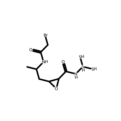 CC(CC1OC1C(=O)N[SH](S)S)NC(=O)CBr